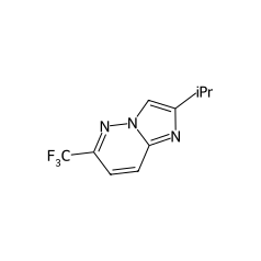 CC(C)c1cn2nc(C(F)(F)F)ccc2n1